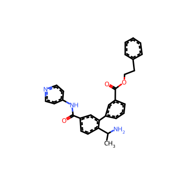 CC(N)c1ccc(C(=O)Nc2ccncc2)cc1-c1cccc(C(=O)OCCc2ccccc2)c1